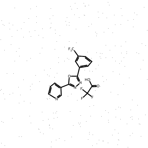 FC(F)(F)c1cccc(-c2nnc(-c3cccnc3)o2)c1.O=C(O)C(F)(F)F